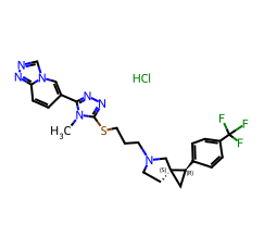 Cl.Cn1c(SCCCN2CC[C@]3(C[C@@H]3c3ccc(C(F)(F)F)cc3)C2)nnc1-c1ccc2nncn2c1